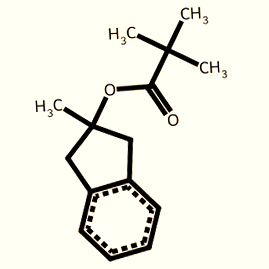 CC1(OC(=O)C(C)(C)C)Cc2ccccc2C1